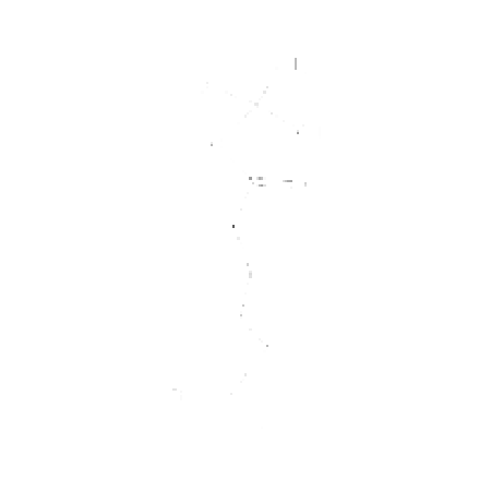 C[C@H](Br)CCCCC(=O)OC(C)(C)C